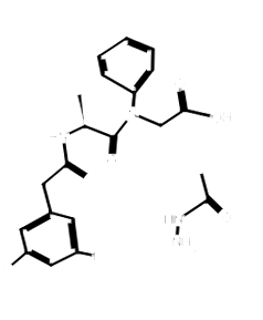 CC(=O)NN.C[C@H](NC(=O)Cc1cc(F)cc(F)c1)C(=O)N(CC(=O)O)c1ccccc1